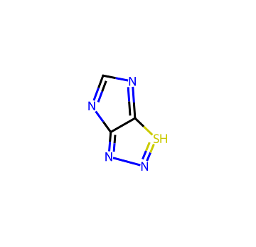 C1=NC2=NN=[SH]C2=N1